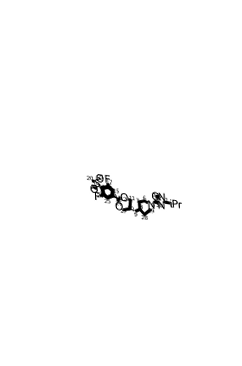 CC(C)c1noc(N2CCC(C[C@H]3CO[C@H](c4cc(F)c(S(C)(=O)=O)c(F)c4)OC3)CC2)n1